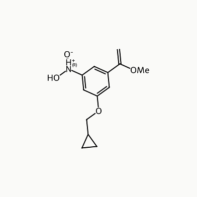 C=C(OC)c1cc(OCC2CC2)cc([N@H+]([O-])O)c1